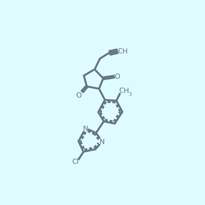 C#CCC1CC(=O)C(c2cc(-c3ncc(Cl)cn3)ccc2C)C1=O